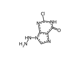 NNn1cnc2c(=O)[nH]c(Cl)nc21